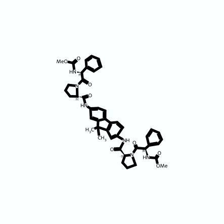 COC(=O)N[C@@H](C(=O)N1CCC[C@H]1C(=O)Nc1ccc2c(c1)C(C)(C)c1cc(NC(=O)[C@@H]3CCCN3C(=O)[C@H](NC(=O)OC)c3ccccc3)ccc1-2)c1ccccc1